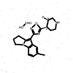 Fc1ccc2c(c1)c(-c1noc([C@@H]3CCNC[C@@H]3F)n1)c1n2CCC1.O=CO